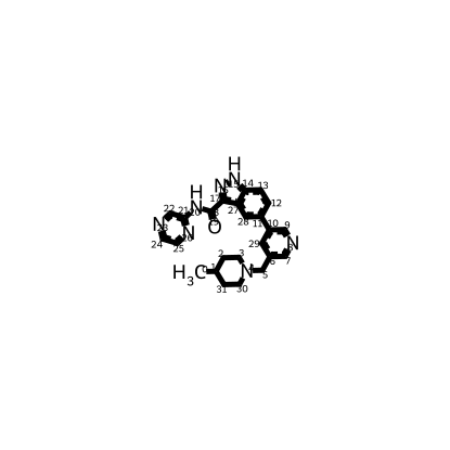 CC1CCN(Cc2cncc(-c3ccc4[nH]nc(C(=O)Nc5cnccn5)c4c3)c2)CC1